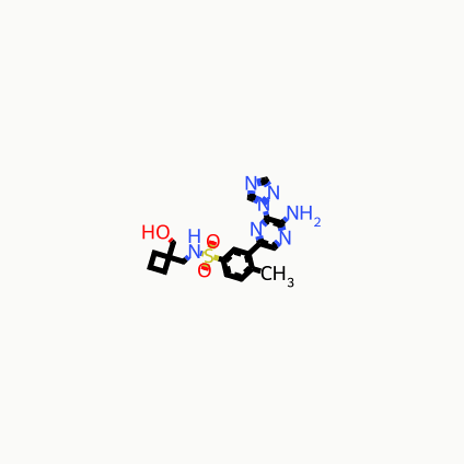 Cc1ccc(S(=O)(=O)NCC2(CO)CCC2)cc1-c1cnc(N)c(-n2cncn2)n1